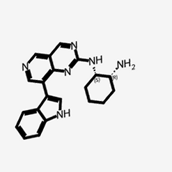 N[C@@H]1CCCC[C@@H]1Nc1ncc2cncc(-c3c[nH]c4ccccc34)c2n1